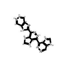 [c]1nnc(-c2nnc(-c3nc4cnncc4s3)c3scnc23)c2ncsc12